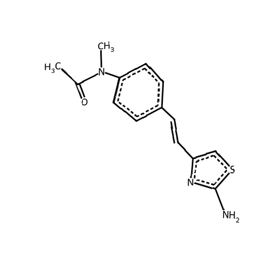 CC(=O)N(C)c1ccc(C=Cc2csc(N)n2)cc1